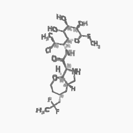 CSC1O[C@H]([C@H](NC(=O)[C@H]2NC[C@@H]3C[C@H](CC(C)(F)F)CCO[C@H]32)[C@H](C)Cl)C(O)[C@@H](O)[C@H]1O